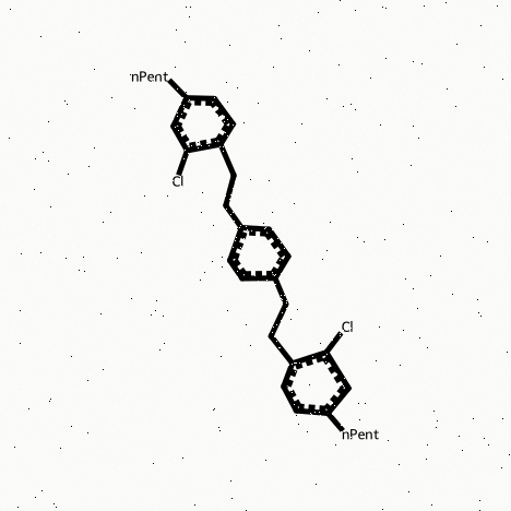 CCCCCc1ccc(CCc2ccc(CCc3ccc(CCCCC)cc3Cl)cc2)c(Cl)c1